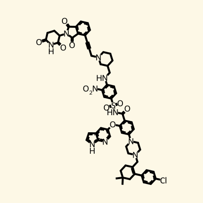 CC1(C)CCC(CN2CCN(c3ccc(C(=O)NS(=O)(=O)c4ccc(NCC5CCCN(CC#Cc6cccc7c6C(=O)N(C6CCC(=O)NC6=O)C7=O)C5)c([N+](=O)[O-])c4)c(Oc4cnc5[nH]ccc5c4)c3)CC2)=C(c2ccc(Cl)cc2)C1